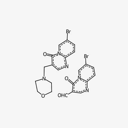 O=Cc1cnc2ccc(Br)cn2c1=O.O=c1c(CN2CCOCC2)cnc2ccc(Br)cn12